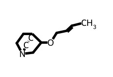 CC=CCOC1CN2CCC1CC2